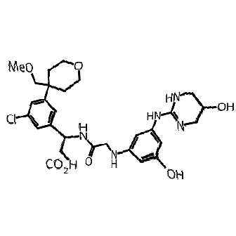 COCC1(c2cc(Cl)cc([C@H](CC(=O)O)NC(=O)CNc3cc(O)cc(NC4=NCC(O)CN4)c3)c2)CCOCC1